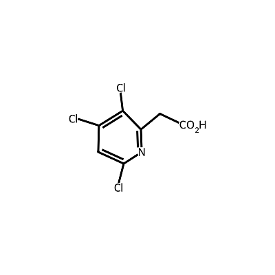 O=C(O)Cc1nc(Cl)cc(Cl)c1Cl